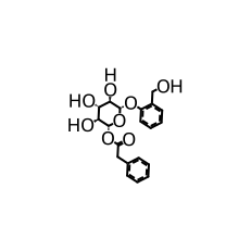 O=C(Cc1ccccc1)O[C@H]1O[C@@H](Oc2ccccc2CO)[C@H](O)[C@@H](O)[C@@H]1O